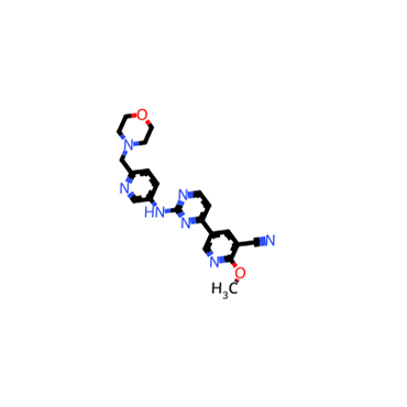 COc1ncc(-c2ccnc(Nc3ccc(CN4CCOCC4)nc3)n2)cc1C#N